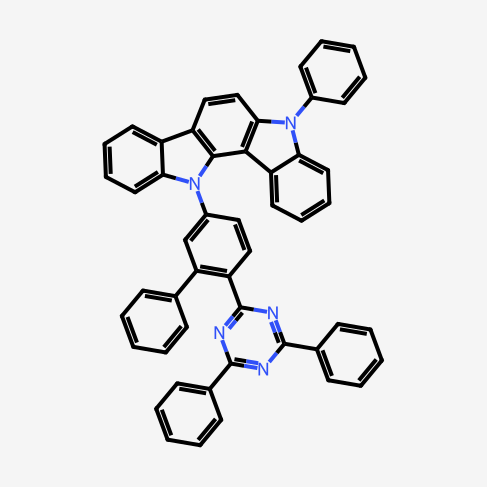 c1ccc(-c2nc(-c3ccccc3)nc(-c3ccc(-n4c5ccccc5c5ccc6c(c7ccccc7n6-c6ccccc6)c54)cc3-c3ccccc3)n2)cc1